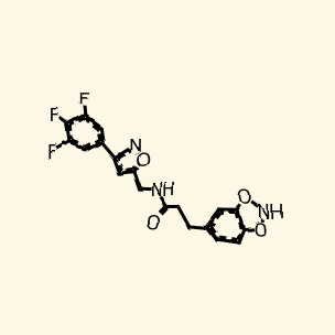 O=C(CCc1ccc2c(c1)ONO2)NCc1cc(-c2cc(F)c(F)c(F)c2)no1